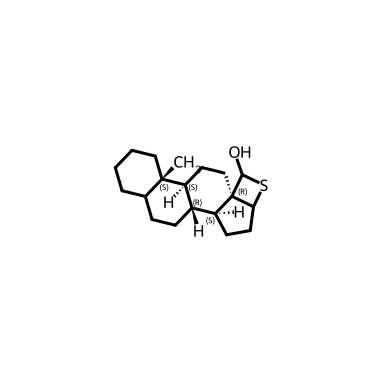 C[C@]12CCCCC1CC[C@H]1[C@@H]3CCC4SC(O)[C@@]43CC[C@@H]12